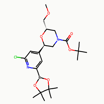 COC[C@@H]1CN(C(=O)OC(C)(C)C)C[C@@H](c2cc(Cl)nc(B3OC(C)(C)C(C)(C)O3)c2)O1